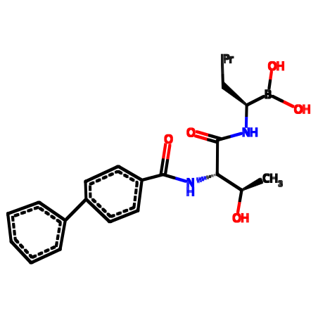 CC(C)C[C@H](NC(=O)[C@@H](NC(=O)c1ccc(-c2ccccc2)cc1)[C@@H](C)O)B(O)O